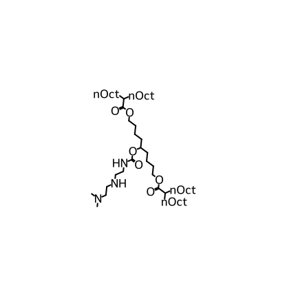 CCCCCCCCC(CCCCCCCC)C(=O)OCCCCC(CCCCOC(=O)C(CCCCCCCC)CCCCCCCC)OC(=O)NCCNCCN(C)C